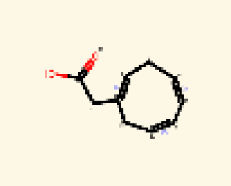 O=C(O)C/C1=C/C/C=C\C=C/[CH]1